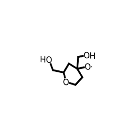 [O]C1(CO)CCOC(CO)C1